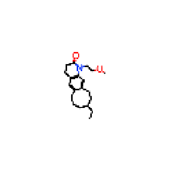 CCC1CCCc2cc3c(cc2CC1)N(CCOC)C(=O)CC3